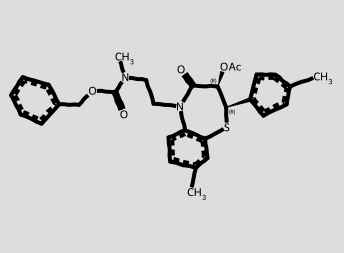 CC(=O)O[C@@H]1C(=O)N(CCN(C)C(=O)OCc2ccccc2)c2ccc(C)cc2S[C@@H]1c1ccc(C)cc1